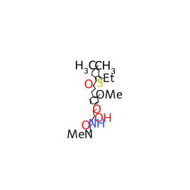 CCc1sc(C(=O)CCc2ccc(OCC(O)CNC(=O)CNC)cc2OC)c2c1CC(C)(C)CC2